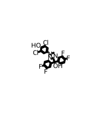 Oc1c(Cl)cc(-n2cnc(C(O)(c3ccc(F)c(F)c3)c3ccc(F)c(F)c3)n2)cc1Cl